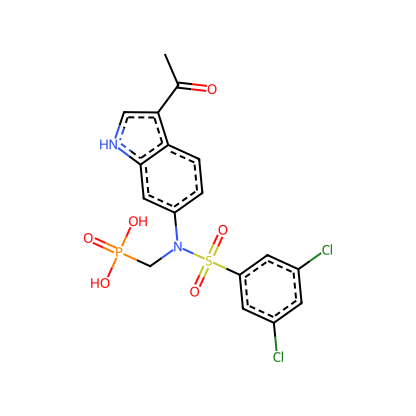 CC(=O)c1c[nH]c2cc(N(CP(=O)(O)O)S(=O)(=O)c3cc(Cl)cc(Cl)c3)ccc12